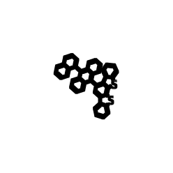 c1ccc2c(-c3c4ccccc4c(-c4cc5c6ccccc6sc5c5sc6ccccc6c45)c4ccccc34)cccc2c1